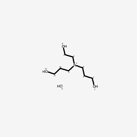 Cl.OCCCN(CCO)CCCO